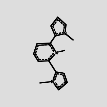 Cn1cccc1-c1cccc(-c2cccn2C)[n+]1C